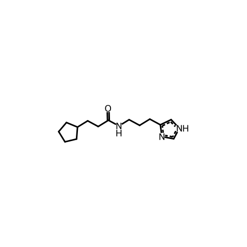 O=C(CCC1CCCC1)NCCCc1c[nH]cn1